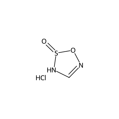 Cl.O=S1NC=NO1